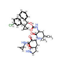 CC(C)CC(NC(=O)OC(c1ccccc1)C1(c2cccc(Cl)c2)CC1)C(=O)NC(CC1CCNC1=O)C(=O)C(=O)NC1CC1